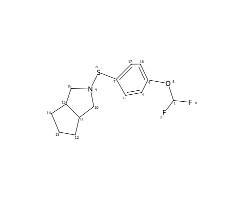 FC(F)Oc1ccc(SN2CC3CCCC3C2)cc1